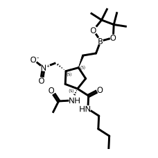 CCCCNC(=O)[C@]1(NC(C)=O)C[C@H](CCB2OC(C)(C)C(C)(C)O2)[C@@H](C[N+](=O)[O-])C1